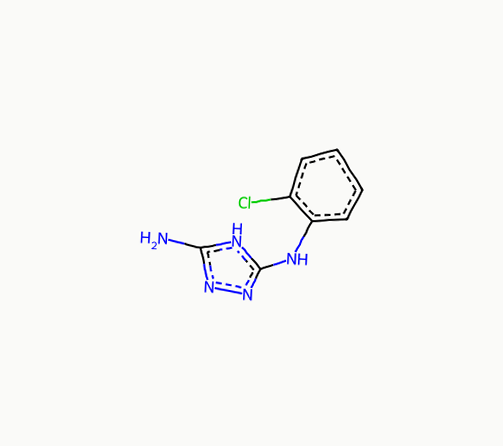 Nc1nnc(Nc2ccccc2Cl)[nH]1